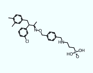 C/C(=N\OCc1ccc(CNCCCP(=O)(O)O)cc1)C(Cc1ccc(C)c(C)c1)c1cccc(Cl)c1